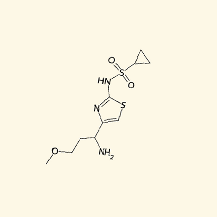 COCCC(N)c1csc(NS(=O)(=O)C2CC2)n1